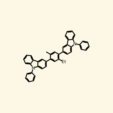 CCc1cc(-c2ccc3c(c2)c2ccccc2n3-c2ccccc2)c(C)cc1-c1ccc2c(c1)c1ccccc1n2-c1ccccc1